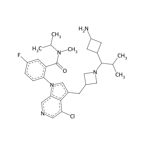 CC(C)C(C1CC(N)C1)N1CC(Cc2cn(-c3ccc(F)cc3C(=O)N(C)C(C)C)c3cncc(Cl)c23)C1